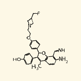 CC1=C(c2ccc(O)cc2)C(c2ccc(OCCN3CC(CF)C3)cc2)Oc2c1ccc(N)c2C=N